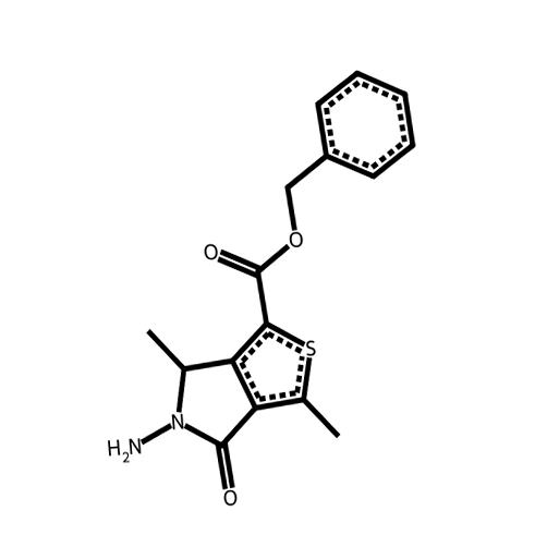 Cc1sc(C(=O)OCc2ccccc2)c2c1C(=O)N(N)C2C